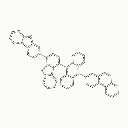 c1ccc2c(c1)ccc1cc(-c3c4ccccc4c(-c4ccc(-c5ccc6c(c5)oc5ccccc56)c5oc6ccccc6c45)c4ccccc34)ccc12